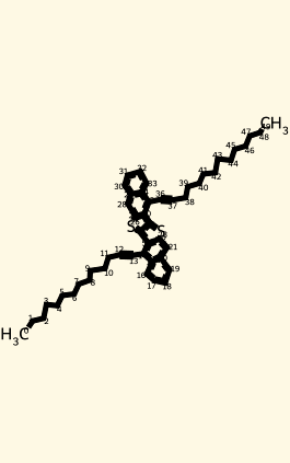 CCCCCCCCCCCCC#Cc1c2ccccc2cc2sc3c(sc4cc5ccccc5c(C#CCCCCCCCCCCCC)c43)c12